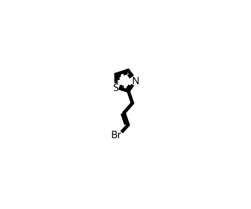 BrC=CCc1nccs1